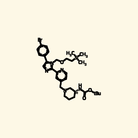 CC(C)(C)OC(=O)N[C@@H]1CCCN(Cc2ccnc(-c3ncc(-c4ccc(Br)cc4)n3COCC[Si](C)(C)C)c2)C1